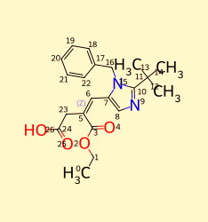 CCOC(=O)/C(=C\c1cnc(C(C)(C)C)n1Cc1ccccc1)CC(=O)O